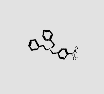 O=[N+]([O-])c1ccc(CN(CCc2ccccc2)Cc2ccccc2)cc1